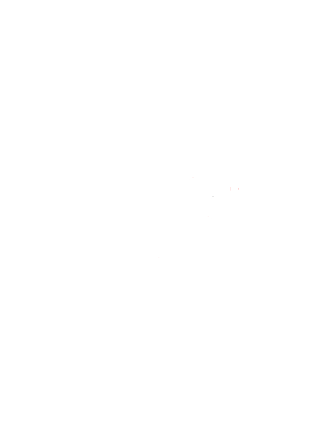 CCCCOC(C)COC(=O)OC